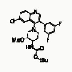 CO[C@@H]1CN(c2c(-c3cc(F)cc(F)c3)cnc3ccc(Cl)cc23)CC[C@H]1NC(=O)OC(C)(C)C